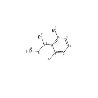 CCc1cccc(C)c1N(CC)CO